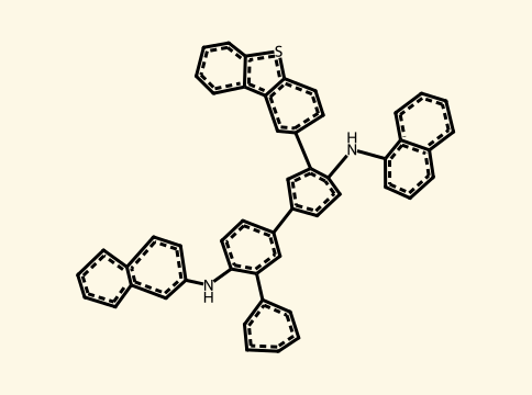 c1ccc(-c2cc(-c3ccc(Nc4cccc5ccccc45)c(-c4ccc5sc6ccccc6c5c4)c3)ccc2Nc2ccc3ccccc3c2)cc1